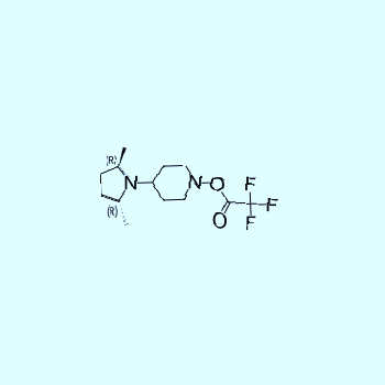 C[C@@H]1CC[C@@H](C)N1C1CCN(OC(=O)C(F)(F)F)CC1